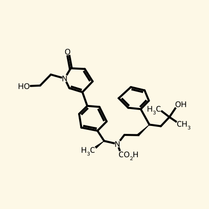 C[C@@H](c1ccc(-c2ccc(=O)n(CCO)c2)cc1)N(CC[C@H](CC(C)(C)O)c1ccccc1)C(=O)O